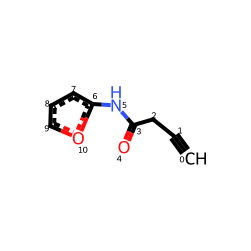 C#CCC(=O)Nc1ccco1